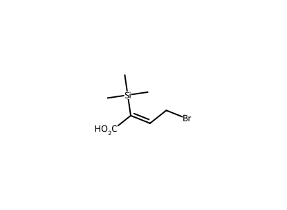 C[Si](C)(C)C(=CCBr)C(=O)O